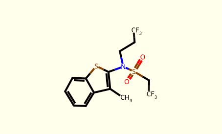 Cc1c(N(CCC(F)(F)F)S(=O)(=O)CC(F)(F)F)sc2ccccc12